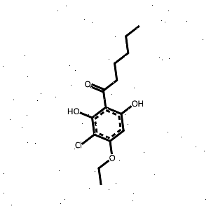 CCCCCC(=O)c1c(O)cc(OCC)c(Cl)c1O